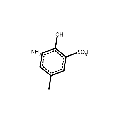 Cc1ccc(O)c(S(=O)(=O)O)c1.N